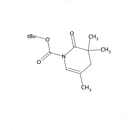 CC1=CN(C(=O)OC(C)(C)C)C(=O)C(C)(C)C1